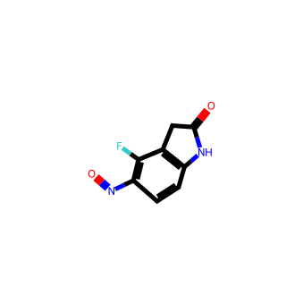 O=Nc1ccc2c(c1F)CC(=O)N2